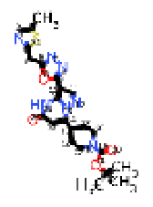 Cc1cnc(Cc2nnc(-c3cnn4c(C5CCN(C(=O)OC(C)(C)C)CC5)cc(=O)[nH]c34)o2)s1